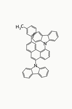 Cc1cccc(-c2ccc3cc(-n4c5ccccc5c5ccccc54)c4cccc(-n5c6ccccc6c6ccccc65)c4c3c2)c1